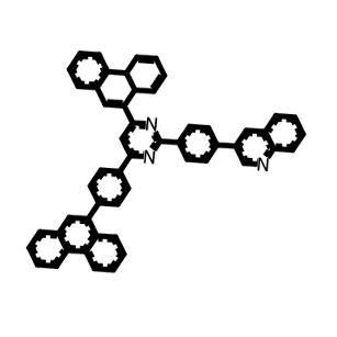 C1=CC2C(c3cc(-c4ccc(-c5cc6ccccc6c6ccccc56)cc4)nc(-c4ccc(-c5cnc6ccccc6c5)cc4)n3)=Cc3ccccc3C2C=C1